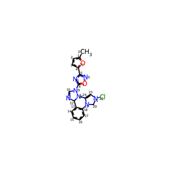 Cc1ccc(-c2noc(N3C=NC4c5ccccc5N5CN(Cl)C=C5N43)n2)o1